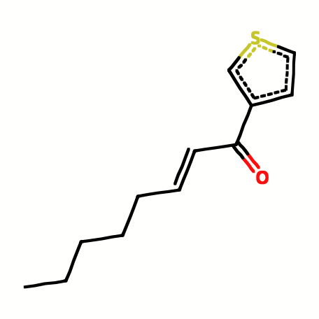 CCCCCC=CC(=O)c1ccsc1